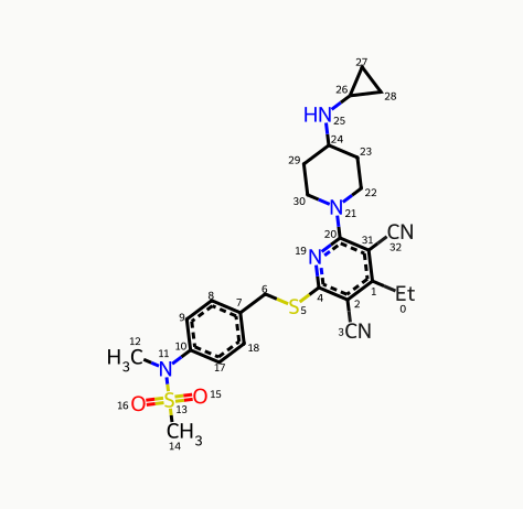 CCc1c(C#N)c(SCc2ccc(N(C)S(C)(=O)=O)cc2)nc(N2CCC(NC3CC3)CC2)c1C#N